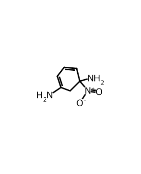 NC1=CC=CC(N)([N+](=O)[O-])C1